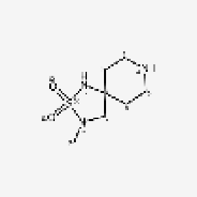 CN1CC2(CCNCC2)NS1(=O)=O